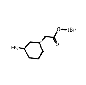 CC(C)(C)OC(=O)C[C@H]1CCCC(O)C1